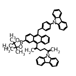 C=C(CCC(=C)n1c2ccccc2c2ccccc21)c1c2ccccc2c(Cc2ccc(-n3c4ccccc4c4ccccc43)cc2)c2ccc(B3OC(C)(C)C(C)(C)O3)cc12